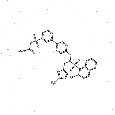 COC(=O)CS(=O)(=O)c1cccc(-c2ccc(CN(Cc3ccc(C(F)(F)F)o3)S(=O)(=O)c3c(C)ccc4ccccc34)cc2)c1